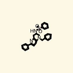 O=S(=O)(NC1Cc2nc(-c3ccccc3)ccc2N(Cc2ccccc2)C1)c1ccccc1